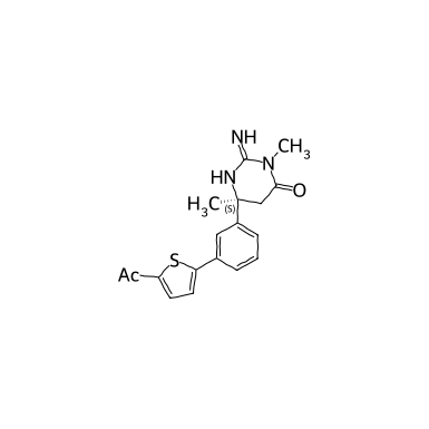 CC(=O)c1ccc(-c2cccc([C@]3(C)CC(=O)N(C)C(=N)N3)c2)s1